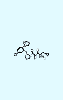 N[C@H](CC1CC1)C(=O)NC(=O)[C@@H]1CCCN1Cc1cc(Cl)ccc1-n1cncn1